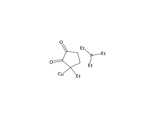 CCP(CC)CC.CC[C]1([Cu])CCC(=O)C1=O